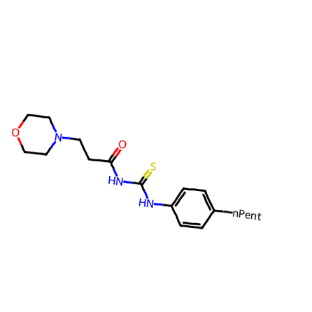 CCCCCc1ccc(NC(=S)NC(=O)CCN2CCOCC2)cc1